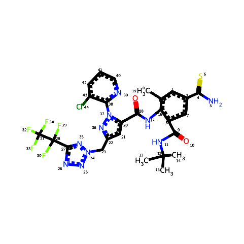 Cc1cc(C(N)=S)cc(C(=O)NC(C)(C)C)c1NC(=O)c1cc(Cn2nnc(C(F)(F)C(F)(F)F)n2)nn1-c1ncccc1Cl